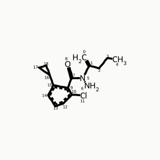 C=C(CCC)N(N)C(=O)c1c(Cl)cccc1C1CC1